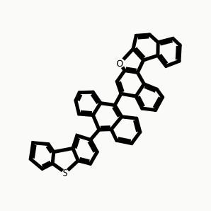 c1ccc2c(c1)ccc1oc3cc(-c4c5ccccc5c(-c5ccc6sc7ccccc7c6c5)c5ccccc45)c4ccccc4c3c12